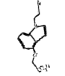 O=C(O)COc1cccc2c1ccn2CCBr